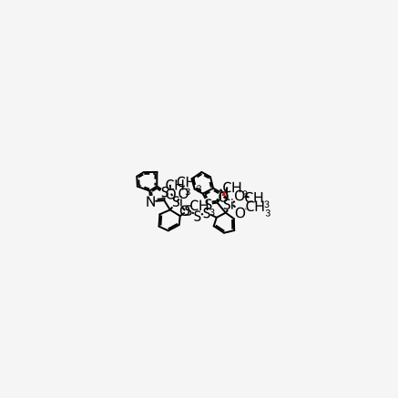 CO[Si](OC)(OC)C1(c2nc3ccccc3s2)C=CC=CC1SSSC1C=CC=CC1(c1nc2ccccc2s1)[Si](OC)(OC)OC